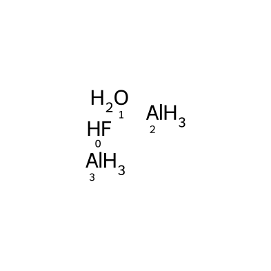 F.O.[AlH3].[AlH3]